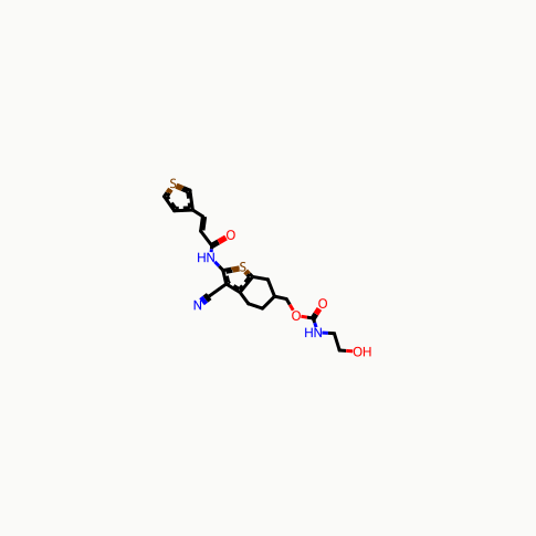 N#Cc1c(NC(=O)C=Cc2ccsc2)sc2c1CCC(COC(=O)NCCO)C2